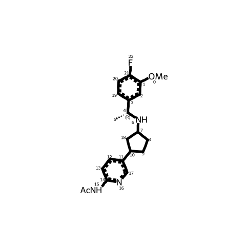 COc1cc([C@@H](C)NC2CCC(c3ccc(NC(C)=O)nc3)C2)ccc1F